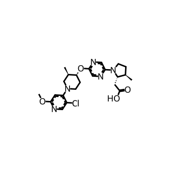 COc1cc(N2CC[C@@H](Oc3cnc(N4CC[C@@H](C)[C@@H]4CC(=O)O)cn3)[C@H](C)C2)c(Cl)cn1